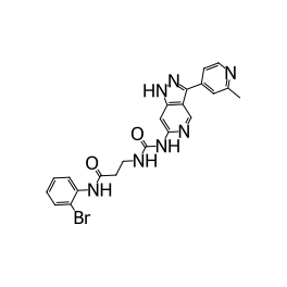 Cc1cc(-c2n[nH]c3cc(NC(=O)NCCC(=O)Nc4ccccc4Br)ncc23)ccn1